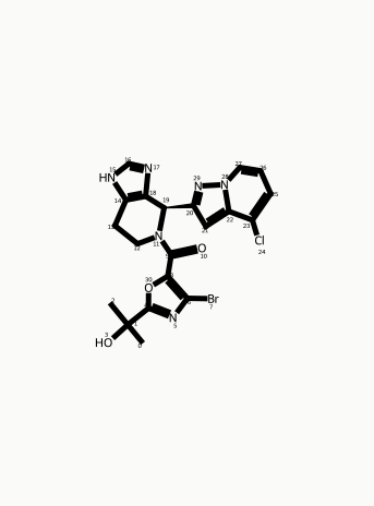 CC(C)(O)c1nc(Br)c(C(=O)N2CCc3[nH]cnc3[C@H]2c2cc3c(Cl)cccn3n2)o1